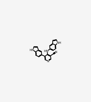 N#Cc1cncc(-c2ccc3[nH]ccc3c2)c1Nc1ccc2[nH]ccc2c1